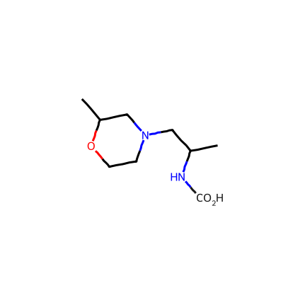 CC(CN1CCOC(C)C1)NC(=O)O